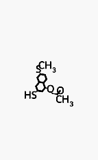 CSc1ccc2c(OCC(C)=O)cc(S)cc2c1